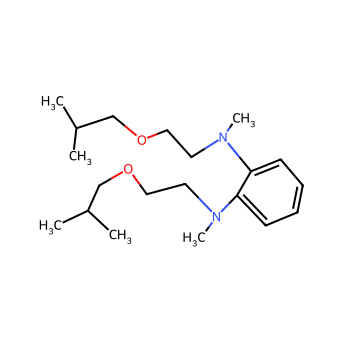 CC(C)COCCN(C)c1ccccc1N(C)CCOCC(C)C